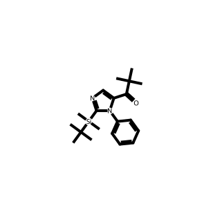 CC(C)(C)C(=O)c1cnc([Si](C)(C)C(C)(C)C)n1-c1ccccc1